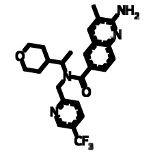 Cc1cc2cc(C(=O)N(Cc3ccc(C(F)(F)F)cn3)C(C)C3CCOCC3)ccc2nc1N